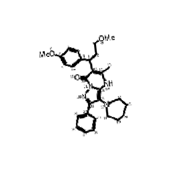 COCCC(c1ccc(OC)cc1)c1c(C)[nH]c2c(N3CCCCC3)c(-c3ccccc3)nn2c1=O